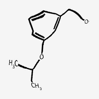 CC(C)Oc1cccc(C[O])c1